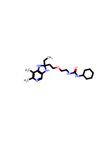 CCC1(CCOCCNC(=O)NC2CCCCC2)Nc2cnc(C)c(C)c2N1